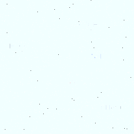 CCCCCCCC(C)C(=O)NC(CCC(=O)O)C(=O)O